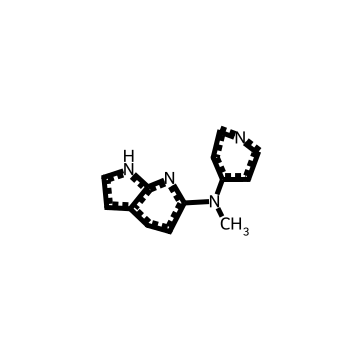 CN(c1ccncc1)c1ccc2cc[nH]c2n1